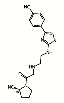 N#Cc1ccc(-c2csc(NCCNCC(=O)N3CCC[C@H]3C#N)n2)cc1